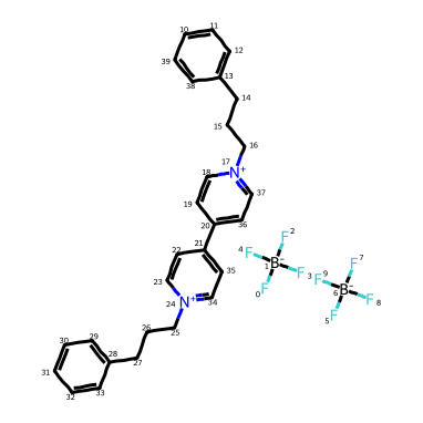 F[B-](F)(F)F.F[B-](F)(F)F.c1ccc(CCC[n+]2ccc(-c3cc[n+](CCCc4ccccc4)cc3)cc2)cc1